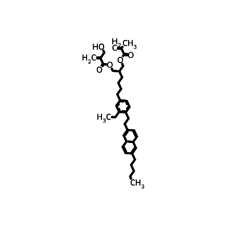 C=C(C)C(=O)OCC(CCCCc1ccc(CCC2=CC3C=CC(CCCCC)=CC3C=C2)c(CC)c1)COC(=O)C(=C)CO